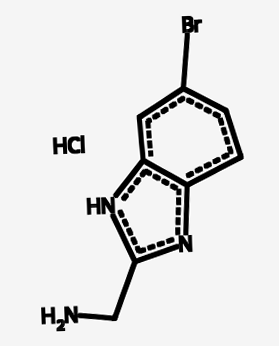 Cl.NCc1nc2ccc(Br)cc2[nH]1